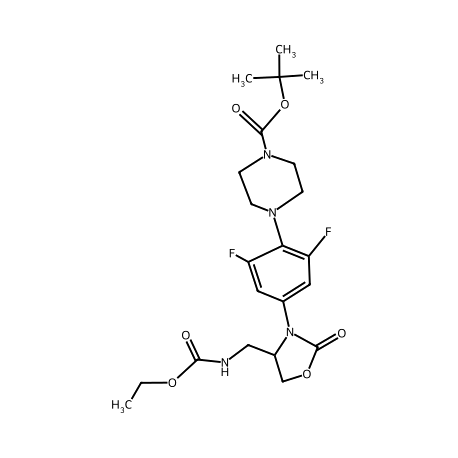 CCOC(=O)NCC1COC(=O)N1c1cc(F)c(N2CCN(C(=O)OC(C)(C)C)CC2)c(F)c1